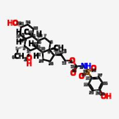 CC[C@H]1[C@@H](O)[C@@H]2[C@H](CC[C@]3(C)[C@@H](CCOC(=O)NS(=O)(=O)c4ccc(O)cc4)CC[C@@H]23)[C@@]2(C)CC[C@@H](O)C[C@@H]12